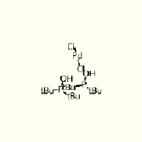 CC(C)(C)P(O)C(C)(C)C.CC(C)(C)P(O)C(C)(C)C.[Cl][Pd][Cl]